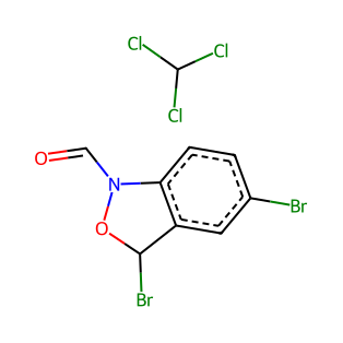 ClC(Cl)Cl.O=CN1OC(Br)c2cc(Br)ccc21